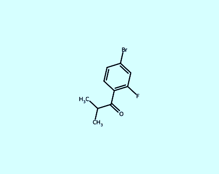 CC(C)C(=O)c1ccc(Br)cc1F